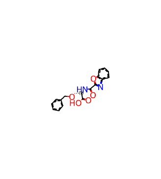 O=C(N[C@@H](COCc1ccccc1)C(=O)O)c1nc2ccccc2o1